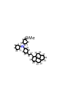 COc1ccc(N(c2ccccc2)c2ccc(C=Cc3ccc4ccc5cccc6ccc3c4c56)cc2)cc1